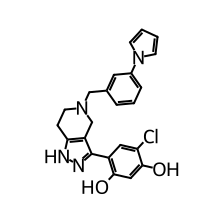 Oc1cc(O)c(-c2n[nH]c3c2CN(Cc2cccc(-n4cccc4)c2)CC3)cc1Cl